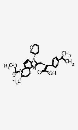 COC(=O)N1c2ccc3c(nc(C[C@H](C(=O)O)c4ccc(C(C)C)cc4)n3[C@H]3CCCOC3)c2CC[C@@H]1C